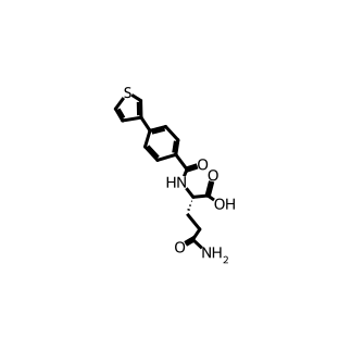 NC(=O)CC[C@H](NC(=O)c1ccc(-c2ccsc2)cc1)C(=O)O